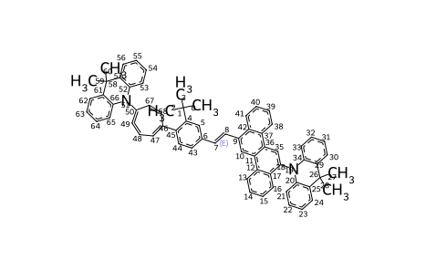 CC(C)(C)c1cc(/C=C/c2cc3c4ccccc4c(N4c5ccccc5C(C)(C)c5ccccc54)cc3c3ccccc23)ccc1C1=CC=C=C(N2c3ccccc3C(C)(C)c3ccccc32)C=C1